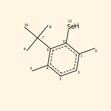 Cc1ccc(C)c(C(C)(C)C)c1[SeH]